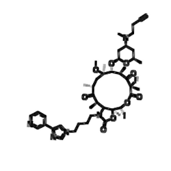 C#CCCN(C)[C@@H]1C[C@H](O[C@@H]2[C@@H](C)C(=O)[C@](C)(F)C(=O)O[C@H](I)[C@@]3(C)OC(=O)N(CCCCn4cnc(-c5cccnc5)c4)C3[C@@H](C)C(=O)[C@H](C)C[C@@]2(C)OC)O[C@H](C)C1